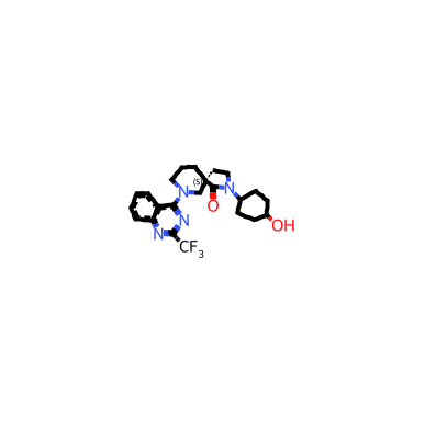 O=C1N(C2CCC(O)CC2)CC[C@]12CCCN(c1nc(C(F)(F)F)nc3ccccc13)C2